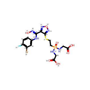 O=C(O)CNP(=O)(CCSc1nonc1/C(=N/O)Nc1ccc(F)c(Br)c1)NCC(=O)O